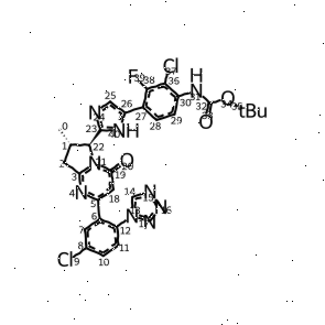 C[C@H]1Cc2nc(-c3cc(Cl)ccc3-n3cnnn3)cc(=O)n2[C@@H]1c1ncc(-c2ccc(NC(=O)OC(C)(C)C)c(Cl)c2F)[nH]1